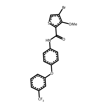 COc1c(Br)csc1C(=O)Nc1ccc(Oc2cccc(C(F)(F)F)c2)cc1